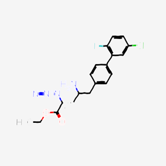 CCOC(=O)[C@@H](CC(N)Cc1ccc(-c2cc(Cl)ccc2F)cc1)N=[N+]=[N-]